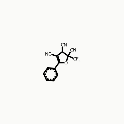 N#CC1=C(c2ccccc2)OC(C#N)(C(F)(F)F)C1C#N